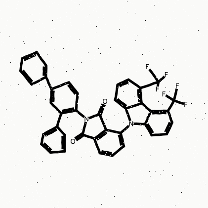 O=C1c2cccc(-n3c4cccc(C(F)(F)F)c4c4c(C(F)(F)F)cccc43)c2C(=O)N1c1ccc(-c2ccccc2)cc1-c1ccccc1